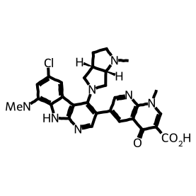 CNc1cc(Cl)cc2c1[nH]c1ncc(-c3cnc4c(c3)c(=O)c(C(=O)O)cn4C)c(N3C[C@@H]4CCN(C)[C@@H]4C3)c12